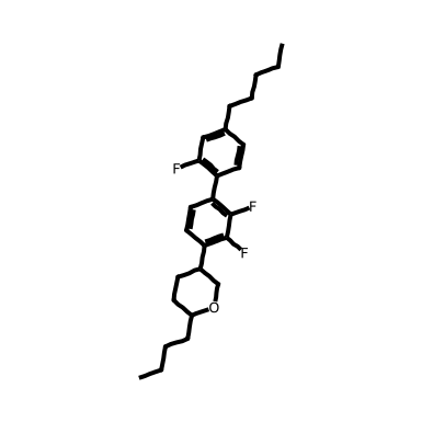 CCCCCc1ccc(-c2ccc(C3CCC(CCCC)OC3)c(F)c2F)c(F)c1